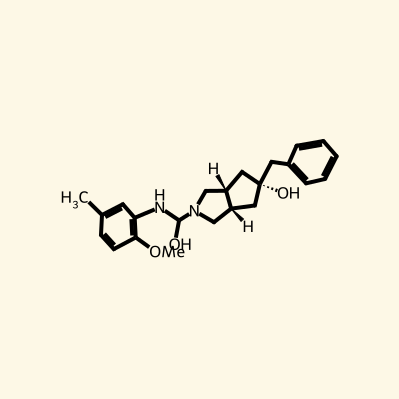 COc1ccc(C)cc1NC(O)N1C[C@@H]2C[C@@](O)(Cc3ccccc3)C[C@@H]2C1